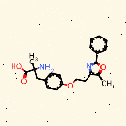 Cc1oc(-c2ccccc2)nc1CCOc1ccc(CC(C)(N)C(=O)O)cc1